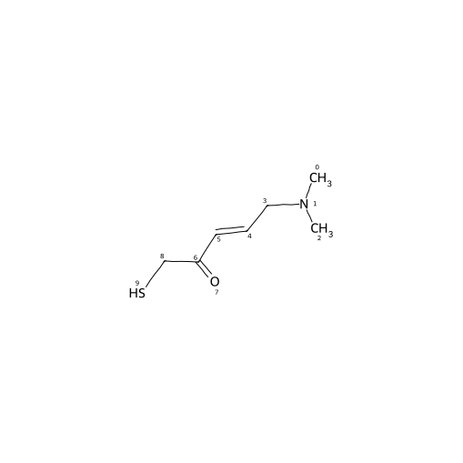 CN(C)C/C=C/C(=O)CS